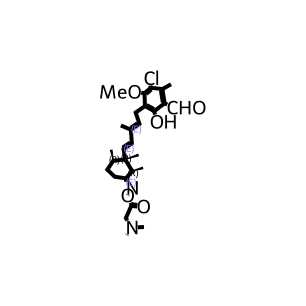 COc1c(Cl)c(C)c(C=O)c(O)c1C/C=C(C)/C=C/[C@@]1(C)[C@H](C)CC/C(=N\OC(=O)CN(C)C)[C@@H]1C